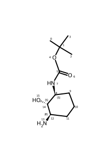 CC(C)(C)OC(=O)N[C@H]1CCC[C@@H](N)[C@@H]1O